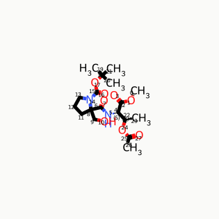 COC(=O)[C@@H](NC(=O)C1(CO)CCCN1C(=O)OC(C)(C)C)[C@@H](C)OC(C)=O